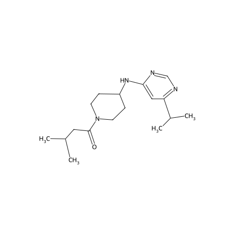 CC(C)CC(=O)N1CCC(Nc2cc(C(C)C)ncn2)CC1